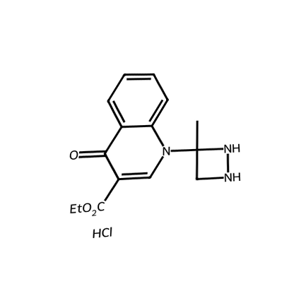 CCOC(=O)c1cn(C2(C)CNN2)c2ccccc2c1=O.Cl